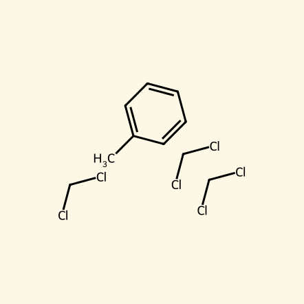 Cc1ccccc1.ClCCl.ClCCl.ClCCl